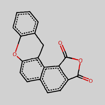 O=C1OC(=O)c2c1ccc1ccc3c(c21)Cc1ccccc1O3